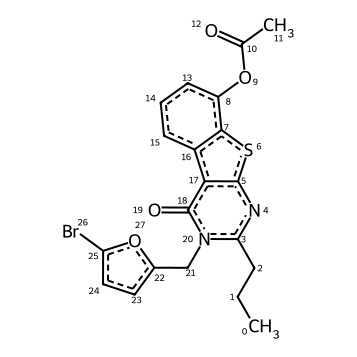 CCCc1nc2sc3c(OC(C)=O)cccc3c2c(=O)n1Cc1ccc(Br)o1